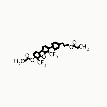 C=CC(=O)OCCCc1ccc(-c2ccc3c(oc4c(C(F)(F)F)c(OC(=O)C=C)ccc43)c2C(F)(F)F)cc1